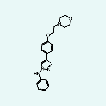 c1ccc(Nn2cc(-c3ccc(OCCN4CCOCC4)cc3)nn2)cc1